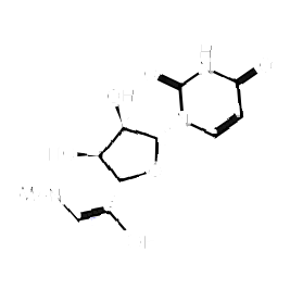 CN/C=C(/O)[C@H]1O[C@@H](n2ccc(=O)[nH]c2=O)[C@H](O)[C@@H]1O